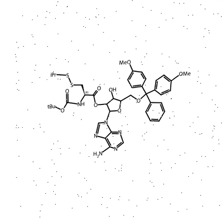 COc1ccc(C(OCC2OC(n3cnc4c(N)ncnc43)C(OC(=O)[C@H](CSSC(C)C)NC(=O)OC(C)(C)C)C2O)(c2ccccc2)c2ccc(OC)cc2)cc1